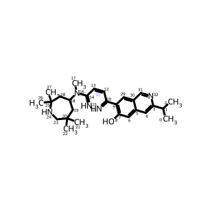 CC(C)c1cc2cc(O)c(C(=N)/C=C\C(=N)N(C)C3CC(C)(C)CNC(C)(C)C3)cc2cn1